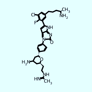 CC(=N)NCC[C@H]1CC(N)C[C@H](c2ccc(-n3cc4cc(-c5cc(CCC[C@H](C)N)cc(Cl)c5F)[nH]c4nc3=O)cc2)O1